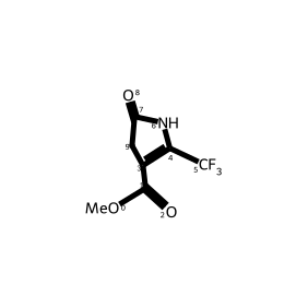 COC(=O)C1=C(C(F)(F)F)NC(=O)C1